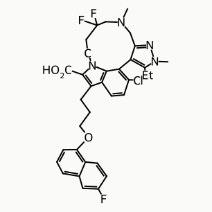 CCc1c2c(nn1C)CN(C)CC(F)(F)CCn1c(C(=O)O)c(CCCOc3cccc4cc(F)ccc34)c3ccc(Cl)c-2c31